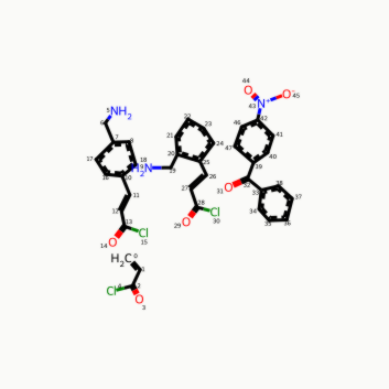 C=CC(=O)Cl.NCc1ccc(C=CC(=O)Cl)cc1.NCc1ccccc1C=CC(=O)Cl.O=C(c1ccccc1)c1ccc([N+](=O)[O-])cc1